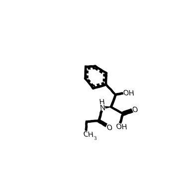 CCC(=O)N[C@H](C(=O)O)C(O)c1ccccc1